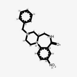 O=C1NCC2CN(Cc3ccccc3)CCN2c2ccc([N+](=O)[O-])cc21